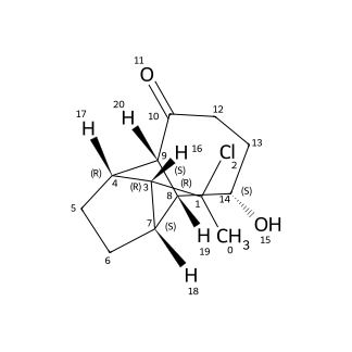 CC(Cl)[C@H]1[C@@H]2CC[C@H]1[C@@H]1[C@H]2C(=O)CC[C@@H]1O